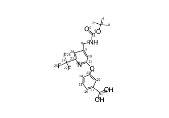 CC(C)(C)OC(=O)NCc1cc(Oc2cccc(C(O)O)c2)nc(C(F)(F)F)c1